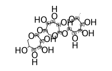 C[C@H]1OC[C@@H](O[C@H]2OC[C@@H](O[C@H]3OCC(O)[C@@H](O)[C@H](O)[C@@H]3O)[C@@H](O)[C@H](O)[C@@H]2O)[C@@H](O)[C@H](O)[C@@H]1O